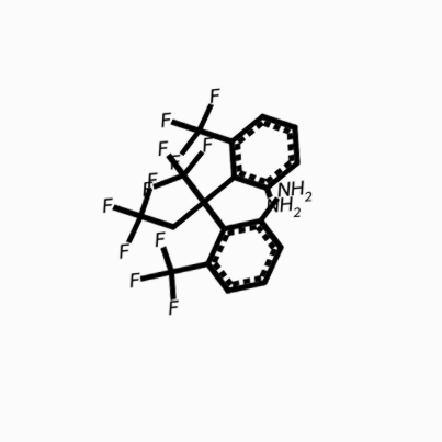 Nc1cccc(C(F)(F)F)c1C(CC(F)(F)F)(c1c(N)cccc1C(F)(F)F)C(F)(F)F